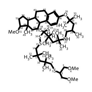 COCC(COC)SCC(C)(C)CC(C)(C)CSSC(S)(S)C(C)(C)CC(C)(C)NCC(C)CC(C)(C)Oc1ccc2c(c1)CCC1C2CCC2(C)C(OC)CCC12